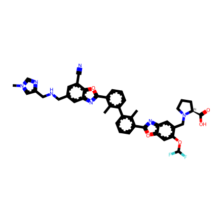 Cc1c(-c2nc3cc(CN4CCC[C@H]4C(=O)O)c(OC(F)F)cc3o2)cccc1-c1cccc(-c2nc3cc(CNCc4cn(C)cn4)cc(C#N)c3o2)c1C